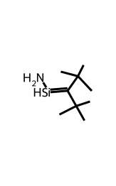 CC(C)(C)C(=[SiH]N)C(C)(C)C